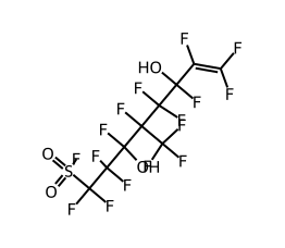 O=S(=O)(F)C(F)(F)C(F)(F)C(O)(F)C(F)(C(F)(F)F)C(F)(F)C(O)(F)C(F)=C(F)F